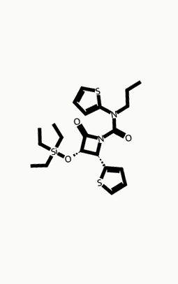 CCCN(C(=O)N1C(=O)[C@@H](O[Si](CC)(CC)CC)[C@H]1c1cccs1)c1cccs1